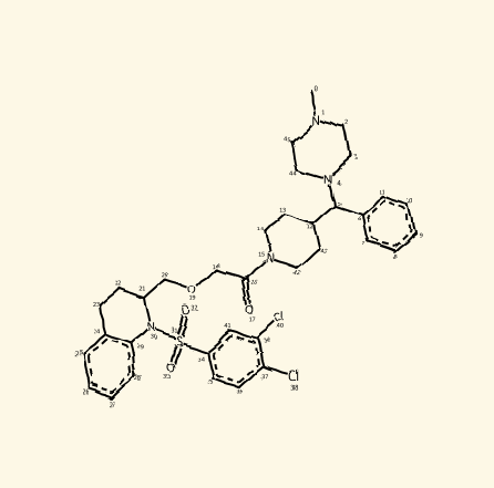 CN1CCN(C(c2ccccc2)C2CCN(C(=O)COCC3CCc4ccccc4N3S(=O)(=O)c3ccc(Cl)c(Cl)c3)CC2)CC1